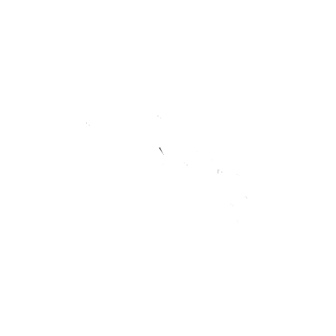 CC(=O)N(C)[C@@H](C)C(=O)N[C@H](C(=O)N1CCC[C@H]1c1cncc(-c2c[nH]c3ccccc23)c1)C1CCCCC1